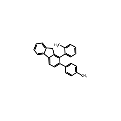 Cc1ccc(-c2ccc3c(c2-c2ccccc2C)Cc2ccccc2-3)cc1